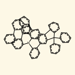 c1ccc(-c2cccc3cccc(-c4ccccc4N(c4ccccc4-c4ccc5c(c4)C(c4ccccc4)(c4ccccc4)c4ccccc4-5)c4cccc5c4sc4ccccc45)c23)cc1